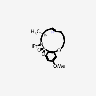 COc1ccc2c(c1)OCCCC/C=C/C[C@@H](C)CN(C(C)C)S2(=O)=O